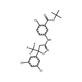 CC(C)(C)OC(=O)c1cc(NC2=NOC(c3cc(Cl)cc(Cl)c3)(C(F)(F)F)C2)ccc1Cl